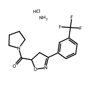 Cl.N.O=C(C1CC(c2cccc(C(F)(F)F)c2)=NO1)N1CCCC1